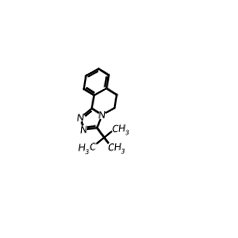 CC(C)(C)c1nnc2n1CCc1ccccc1-2